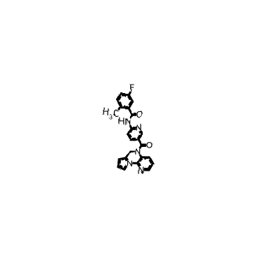 Cc1ccc(F)cc1C(=O)Nc1ccc(C(=O)N2Cc3cccn3-c3ncccc32)cn1